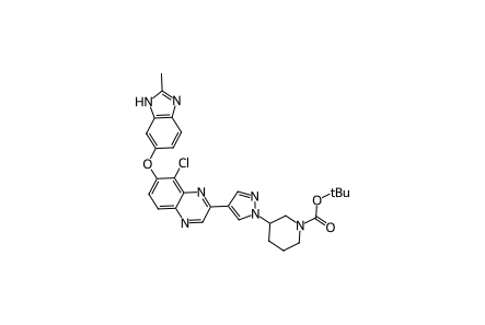 Cc1nc2ccc(Oc3ccc4ncc(-c5cnn(C6CCCN(C(=O)OC(C)(C)C)C6)c5)nc4c3Cl)cc2[nH]1